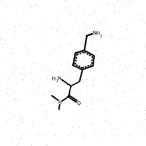 CN(C)C(=O)C(N)Cc1ccc(CN)cc1